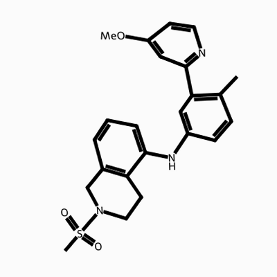 COc1ccnc(-c2cc(Nc3cccc4c3CCN(S(C)(=O)=O)C4)ccc2C)c1